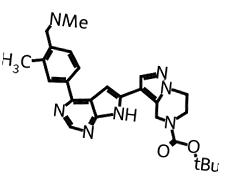 CNCc1ccc(-c2ncnc3[nH]c(-c4cnn5c4CN(C(=O)OC(C)(C)C)CC5)cc23)cc1C